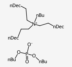 CCCCCCCCCCCC[N+](CCCC)(CCCCCCCCCCCC)CCCCCCCCCCCC.CCCCOP(=O)([O-])OCCCC